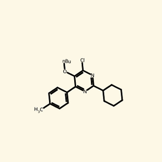 CCCCOc1c(Cl)nc(C2CCCCC2)nc1-c1ccc(C)cc1